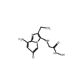 CCc1nc2c(N)cc(Cl)cn2c1NCC(=O)NO